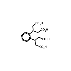 O=C(O)CC(CC(=O)O)c1ccccc1N(CC(=O)O)CC(=O)O